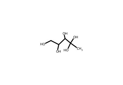 CC(O)(O)C(O)C(O)CO